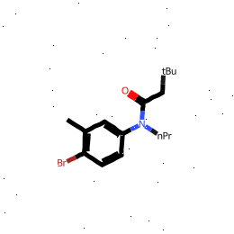 CCCN(C(=O)CC(C)(C)C)c1ccc(Br)c(C)c1